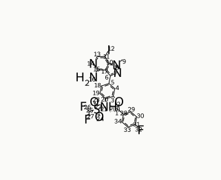 C[C@H](Oc1cc(-c2nn(C)c3c(I)cnc(N)c23)ccc1NS(=O)(=O)C(F)F)c1ccc(F)cc1